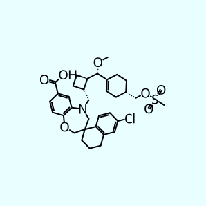 CO[C@H](C1=CC[C@@H](COS(C)(=O)=O)CC1)[C@@H]1CC[C@H]1CN1CC2(CCCc3cc(Cl)ccc32)COc2ccc(C(=O)O)cc21